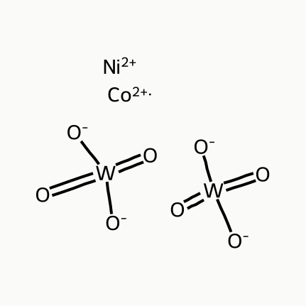 [Co+2].[Ni+2].[O]=[W](=[O])([O-])[O-].[O]=[W](=[O])([O-])[O-]